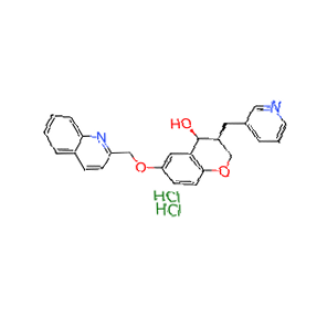 Cl.Cl.O[C@@H]1c2cc(OCc3ccc4ccccc4n3)ccc2OC[C@@H]1Cc1cccnc1